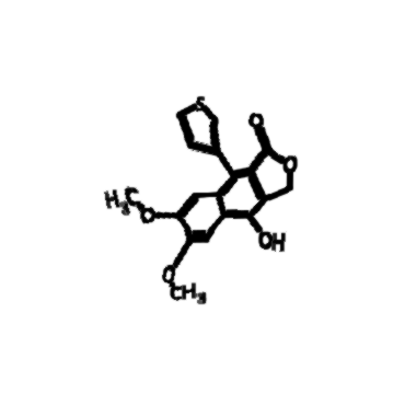 COc1cc2c(O)c3c(c(-c4ccsc4)c2cc1OC)C(=O)OC3